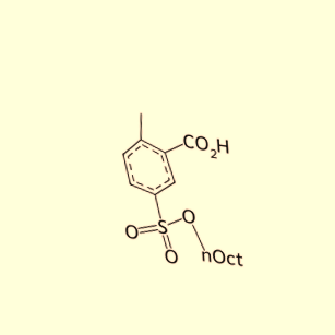 CCCCCCCCOS(=O)(=O)c1ccc(C)c(C(=O)O)c1